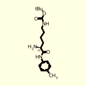 Cc1ccc(NC(=O)[C@@H](N)CCCCNC(=O)OC(C)(C)C)cc1